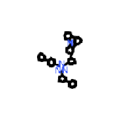 c1ccc(-c2ccc(-c3nc(-c4cccc(-c5ccccc5)c4)nc(-c4cccc(-c5ccc6c(c5)c5cccc7c8ccccc8n6c75)c4)n3)cc2)cc1